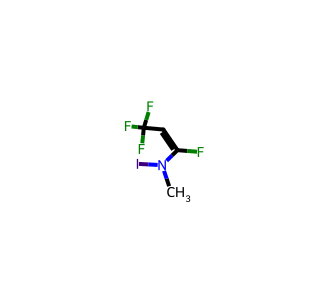 CN(I)/C(F)=C\C(F)(F)F